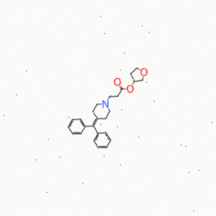 O=C(CCN1CCC(=C(c2ccccc2)c2ccccc2)CC1)OC1CCOC1